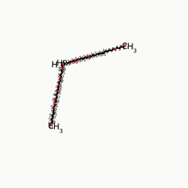 CCCCCCCCCCCCCCCCCCCCCCCCCCCCCCP[PH3]CCCCCCCCCCCCCCCCCCCCCCCCCCCCCC